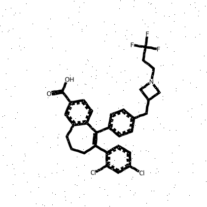 O=C(O)c1ccc2c(c1)CCCC(c1ccc(Cl)cc1Cl)=C2c1ccc(CC2CN(CCC(F)(F)F)C2)cc1